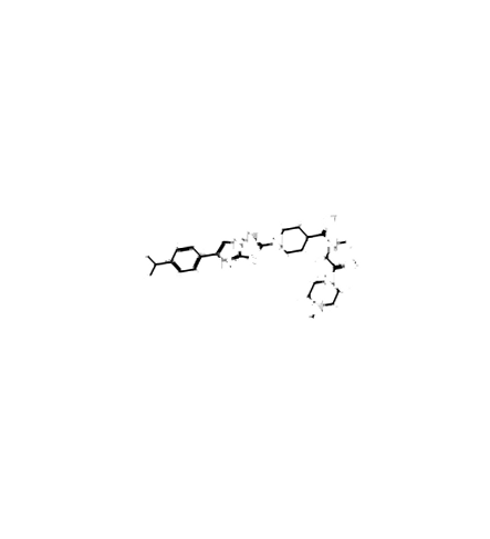 CC(C)c1ccc(-c2cn3nc(N4CCC(C(=O)N(C)CC(=O)N5CCN(C)CC5)CC4)sc3n2)cc1